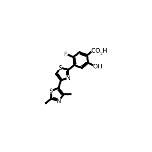 Cc1nc(C)c(-c2csc(-c3cc(O)c(C(=O)O)cc3F)n2)s1